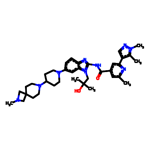 Cc1cc(C(=O)Nc2nc3ccc(N4CCC(N5CCC6(CC5)CN(C)C6)CC4)cc3n2CC(C)(C)O)cc(-c2cnn(C)c2C)n1